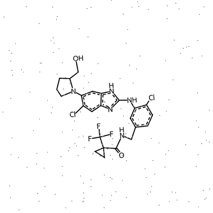 O=C(NCc1ccc(Cl)c(Nc2nc3cc(Cl)c(N4CCCC4CO)cc3[nH]2)c1)C1(C(F)(F)F)CC1